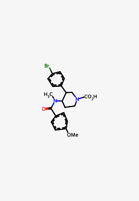 COc1ccc(C(=O)N(C)C2CCN(C(=O)O)CC2c2ccc(Br)cc2)cc1